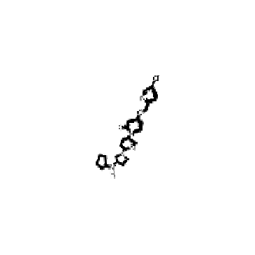 O=c1cc(OCc2ccc(Cl)cn2)ccn1-c1ccc(N2CCC(NC3CCCC3)C2)nc1